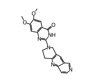 COc1cc2nc(N3CCc4nc5ccncc5cc4C3)[nH]c(=O)c2cc1OC